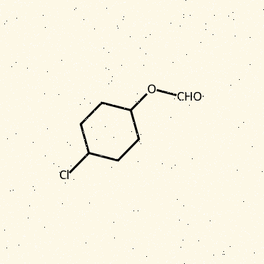 O=[C]OC1CCC(Cl)CC1